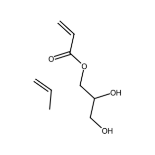 C=CC.C=CC(=O)OCC(O)CO